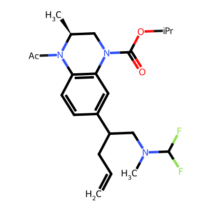 C=CCC(CN(C)C(F)F)c1ccc2c(c1)N(C(=O)OC(C)C)C[C@H](C)N2C(C)=O